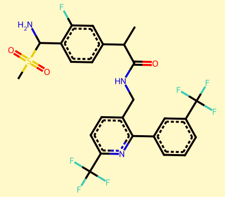 CC(C(=O)NCc1ccc(C(F)(F)F)nc1-c1cccc(C(F)(F)F)c1)c1ccc(C(N)S(C)(=O)=O)c(F)c1